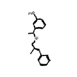 COc1cccc(C(C)NCC(C)=Cc2ccccc2)c1